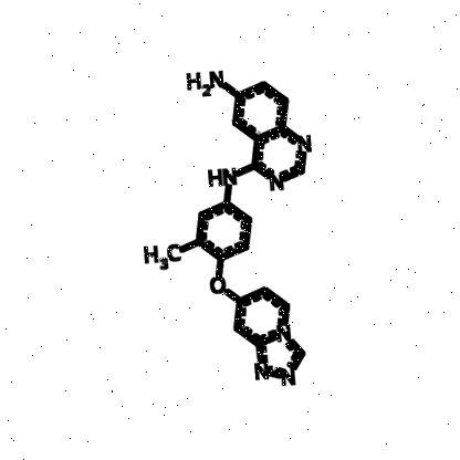 Cc1cc(Nc2ncnc3ccc(N)cc23)ccc1Oc1ccn2cnnc2c1